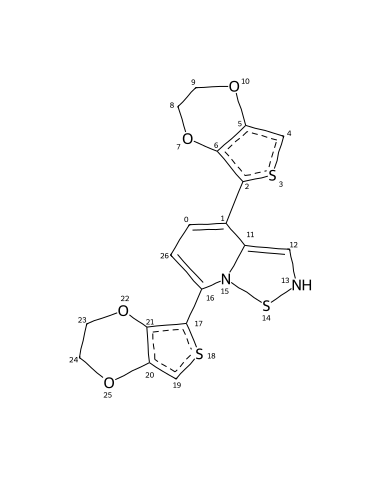 C1=C(c2scc3c2OCCO3)C2=CNSN2C(c2scc3c2OCCO3)=C1